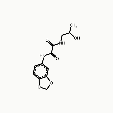 CC(O)CNC(=O)C(=O)Nc1ccc2c(c1)OCO2